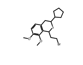 COc1ccc2c(c1OC)C(CCBr)SC(C1CCCC1)C2